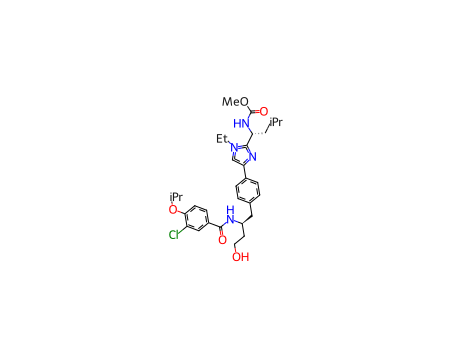 CCn1cc(-c2ccc(C[C@@H](CCO)NC(=O)c3ccc(OC(C)C)c(Cl)c3)cc2)nc1[C@@H](CC(C)C)NC(=O)OC